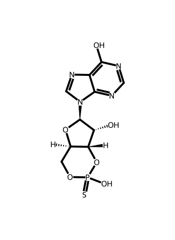 Oc1ncnc2c1ncn2[C@@H]1O[C@@H]2COP(O)(=S)O[C@H]2[C@H]1O